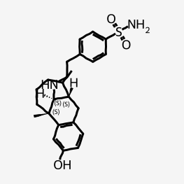 CC1CCC[C@@]2(C)c3cc(O)ccc3C[C@@H]1[C@@H]2NCCc1ccc(S(N)(=O)=O)cc1